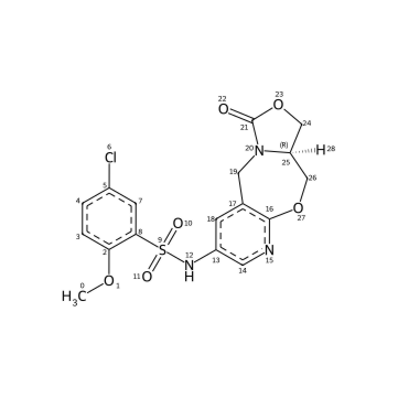 COc1ccc(Cl)cc1S(=O)(=O)Nc1cnc2c(c1)CN1C(=O)OC[C@H]1CO2